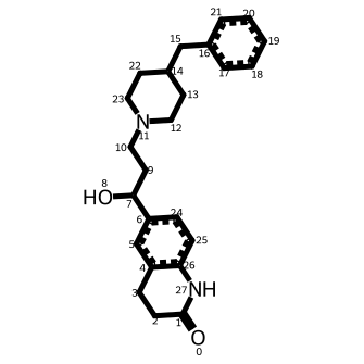 O=C1CCc2cc(C(O)CCN3CCC(Cc4ccccc4)CC3)ccc2N1